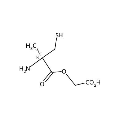 C[C@](N)(CS)C(=O)OCC(=O)O